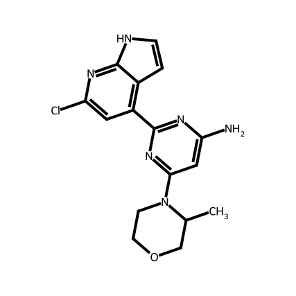 CC1COCCN1c1cc(N)nc(-c2cc(Cl)nc3[nH]ccc23)n1